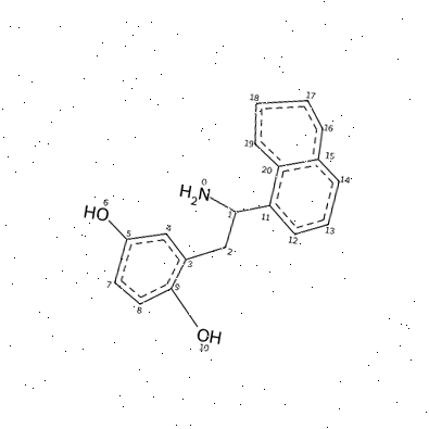 NC(Cc1cc(O)ccc1O)c1cccc2ccccc12